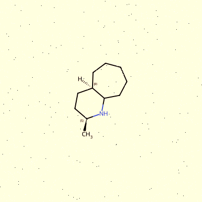 C[C@H]1CC[C@H]2CCCCCC2N1